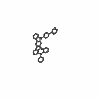 c1ccc(N2c3ccccc3-n3c4cc5c(cc4c4cccc2c43)c2ccccc2n5-c2ccc(-c3cccnc3)cc2)cc1